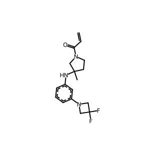 C=CC(=O)N1CCC(C)(Nc2cccc(N3CC(F)(F)C3)c2)C1